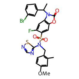 COc1ccc(CN(c2ncns2)S(=O)(=O)c2cc3oc(=O)n(C(C)c4cccc(Br)c4)c3cc2F)c(C)c1